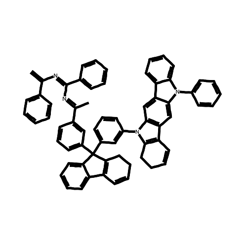 C=C(/N=C(\N=C(/C)c1cccc(C2(c3cccc(-n4c5c(c6cc7c(cc64)c4ccccc4n7-c4ccccc4)C=CCC5)c3)C3=C(C=CCC3)c3ccccc32)c1)c1ccccc1)c1ccccc1